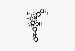 Cc1ccc(N=Nc2c(O)ccc(-c3ccc(N=Nc4ccccc4)cc3)c2O)c(C)c1.[Na]